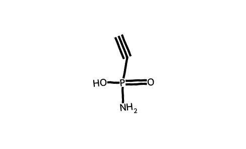 C#CP(N)(=O)O